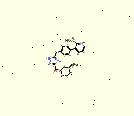 CCCCCC1CCCC(C(=O)c2n[nH]c(Cc3ccc(-c4cccnc4C(=O)O)cc3)n2)C1